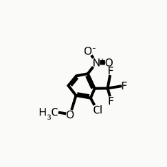 COc1ccc([N+](=O)[O-])c(C(F)(F)F)c1Cl